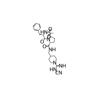 CS(=O)(=O)N[C@H](Cc1ccccc1)C(=O)N1CCC[C@H]1C(=O)NCC1CCN(C(=N)NC#N)CC1